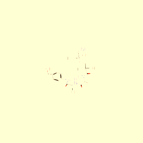 C[C@H](NC(=O)[C@H](C)NC(=O)C(C)(C)COC(C)(C)CN)C(=O)Nc1ccc(CO)cc1